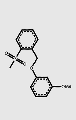 COc1cc[c]c(OCc2ccccc2S(C)(=O)=O)c1